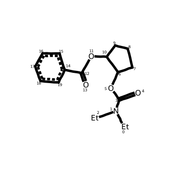 CCN(CC)C(=O)OC1CCCC1OC(=O)c1ccccc1